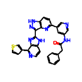 O=C(Cc1ccccc1)Nc1cncc(-c2ccc3[nH]nc(-c4nc5c(-c6ccsc6)nccc5[nH]4)c3n2)c1